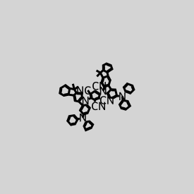 CC1(C)c2ccccc2-c2cc3c4cc(N(c5ccccc5)c5ccccc5)ccc4n(-c4c(C#N)c(C#N)c(-n5c6ccc(N(c7ccccc7)c7ccccc7)cc6c6cc7c(cc65)C(C)(C)c5ccccc5-7)c(C#N)c4C#N)c3cc21